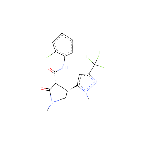 CN1C[C@H](c2cc(C(F)(F)F)nn2C)[C@@H](C(=O)Nc2ccccc2F)C1=O